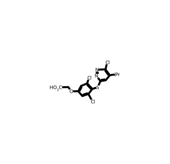 CC(C)c1cc(Sc2c(Cl)cc(OCC(=O)O)cc2Cl)nnc1Cl